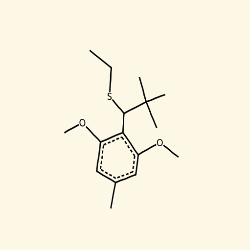 CCSC(c1c(OC)cc(C)cc1OC)C(C)(C)C